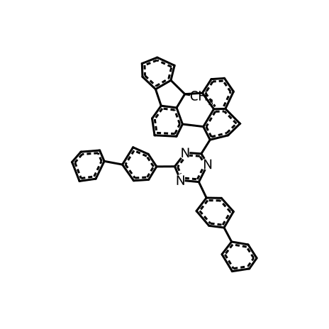 CC12c3ccccc3-c3cccc(c31)-c1c(-c3nc(-c4ccc(-c5ccccc5)cc4)nc(-c4ccc(-c5ccccc5)cc4)n3)ccc3cccc2c13